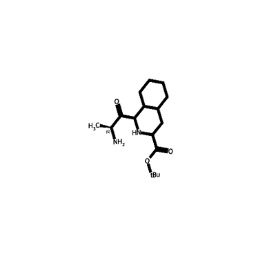 C[C@H](N)C(=O)C1NC(C(=O)OC(C)(C)C)CC2CCCCC21